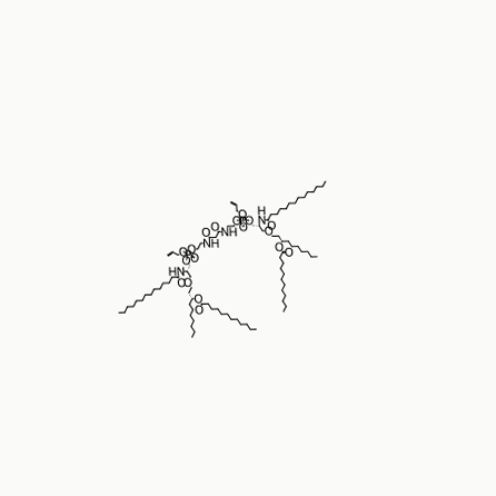 C=CCOP(=O)(OCCNC(=O)CC(=O)NCCOP(=O)(OCC=C)OC[C@H](COCC[C@@H](CCCCCCC)OC(=O)CCCCCCCCCCC)NC(=O)CCCCCCCCCCCCC)OC[C@@H](COCC[C@@H](CCCCCCC)OC(=O)CCCCCCCCCCC)NC(=O)CCCCCCCCCCCCC